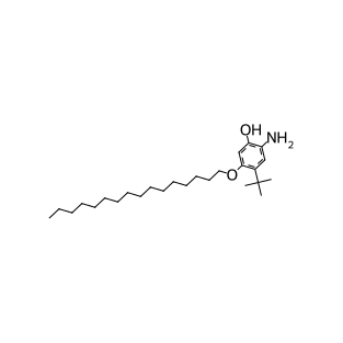 CCCCCCCCCCCCCCCCOc1cc(O)c(N)cc1C(C)(C)C